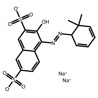 CC1(C)C=CC=CC1N=Nc1c(O)c(S(=O)(=O)[O-])cc2cc(S(=O)(=O)[O-])ccc12.[Na+].[Na+]